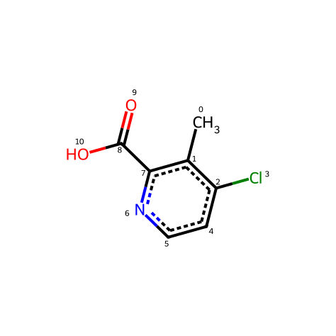 Cc1c(Cl)ccnc1C(=O)O